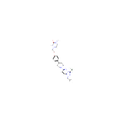 CC(C)C[n+]1nc(C(F)(F)F)n2nc(N3CCC(c4ccc(OCCN5CCN(C)C(=O)[C@@H]5C)cc4)CC3)ccc21